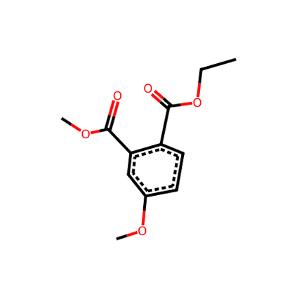 CCOC(=O)c1ccc(OC)cc1C(=O)OC